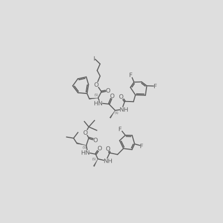 CC(C)C[C@H](NC(=O)[C@H](C)NC(=O)Cc1cc(F)cc(F)c1)C(=O)OC(C)(C)C.C[C@H](NC(=O)Cc1cc(F)cc(F)c1)C(=O)N[C@@H](Cc1ccccc1)C(=O)OCCCI